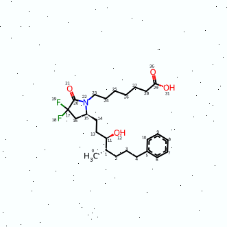 C[C@@H](CCCc1ccccc1)[C@H](O)CC[C@H]1CC(F)(F)C(=O)N1CCCCCCC(=O)O